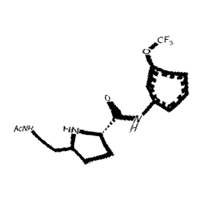 CC(=O)NCC1CC[C@@H](C(=O)Nc2cccc(OC(F)(F)F)c2)N1